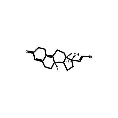 C[C@]12CCC3=C4CCC(=O)C=C4CC[C@H]3[C@@H]1CC[C@@]2(O)C=CBr